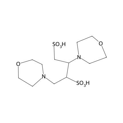 O=S(=O)(O)CC(C(CN1CCOCC1)S(=O)(=O)O)N1CCOCC1